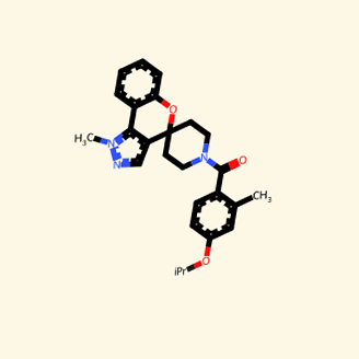 Cc1cc(OC(C)C)ccc1C(=O)N1CCC2(CC1)Oc1ccccc1-c1c2cnn1C